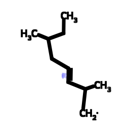 [CH2]C(C)/C=C/CC(C)CC